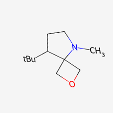 CN1CCC(C(C)(C)C)C12COC2